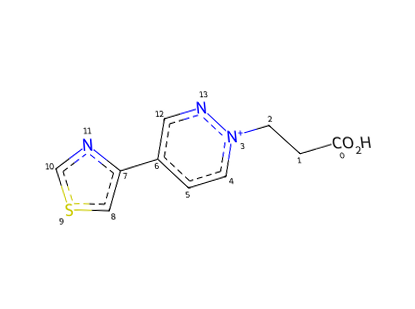 O=C(O)CC[n+]1ccc(-c2cscn2)cn1